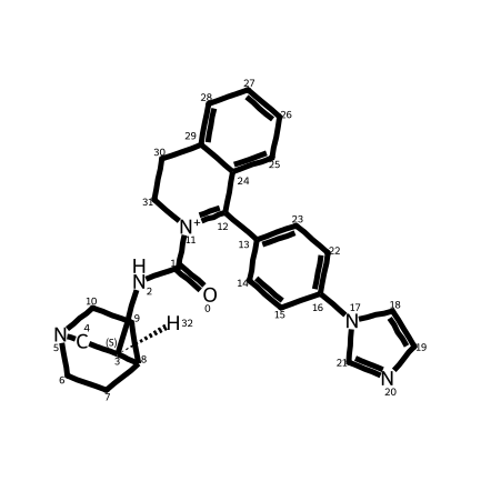 O=C(N[C@@H]1CN2CCC1CC2)[N+]1=C(c2ccc(-n3ccnc3)cc2)c2ccccc2CC1